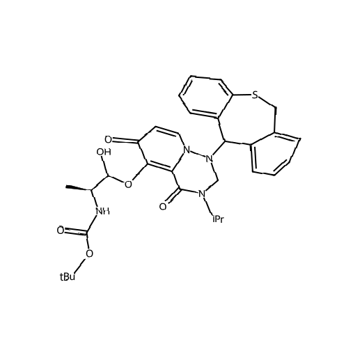 CC(C)N1CN(C2c3ccccc3CSc3ccccc32)n2ccc(=O)c(OC(O)[C@H](C)NC(=O)OC(C)(C)C)c2C1=O